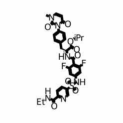 CCNC(=O)c1ccc(S(=O)(=O)Nc2cc(F)c(C(=O)N[C@@H](Cc3ccc(-n4c(=O)ccn(C)c4=O)cc3)C(=O)OC(C)C)c(F)c2)cn1